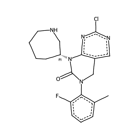 Cc1cccc(F)c1N1Cc2cnc(Cl)nc2N([C@@H]2CCCCNC2)C1=O